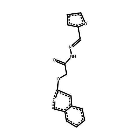 O=C(COc1ccc2ccccc2c1)N/N=C/c1ccco1